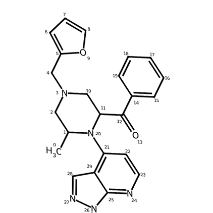 CC1CN(Cc2ccco2)CC(C(=O)c2ccccc2)N1c1ccnc2[nH]ncc12